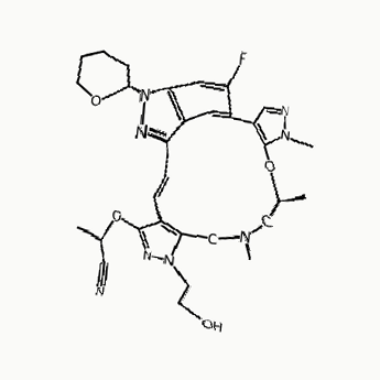 CC(C#N)Oc1nn(CCO)c2c1/C=C/c1nn(C3CCCCO3)c3cc(F)c(cc13)-c1cnn(C)c1O[C@@H](C)CN(C)C2